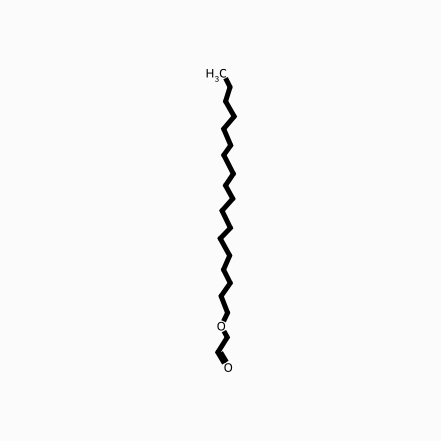 CCCCCCCCCCCCCCCCCCOCC=O